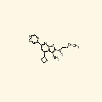 COCC[S+]([O-])c1sc2nc(-c3ccnnc3)cc(C3CCC3)c2c1N